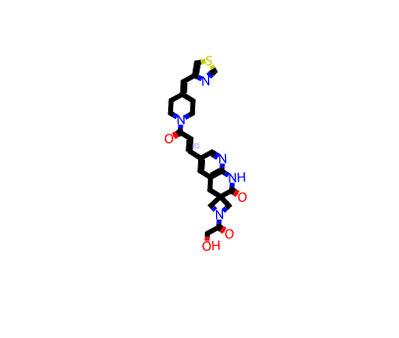 O=C(/C=C/c1cnc2c(c1)CC1(CN(C(=O)CO)C1)C(=O)N2)N1CCC(=Cc2cscn2)CC1